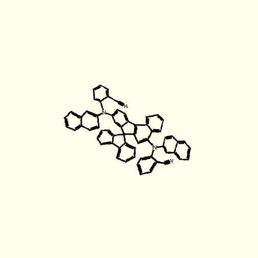 N#Cc1ccccc1N(c1ccc2c(c1)C1(c3ccccc3-c3ccccc31)c1cc(N(c3ccc4ccccc4c3)c3ccccc3C#N)c3ccccc3c1-2)c1ccc2ccccc2c1